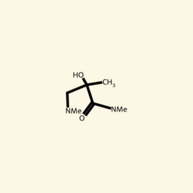 CNCC(C)(O)C(=O)NC